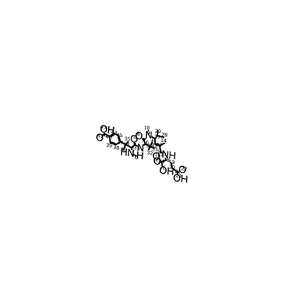 CN[C@H](C(=O)NC(C(=O)N(C)[C@H](/C=C(\C)C(=O)N[C@H](CCC(=O)O)C(=O)O)C(C)C)C(C)(C)C)C(C)(C)c1ccc(C(=O)O)cc1